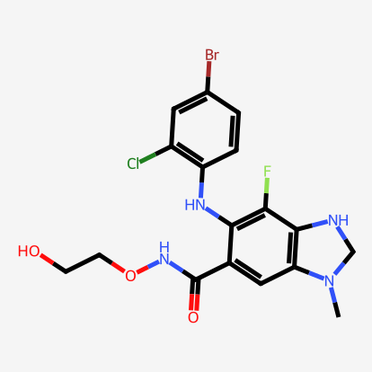 CN1CNc2c1cc(C(=O)NOCCO)c(Nc1ccc(Br)cc1Cl)c2F